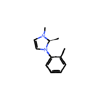 Cc1ccccc1N1C=CN(C)[C@H]1C